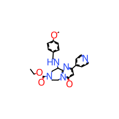 CCOC(=O)N1CCn2c(nc(-c3ccncc3)cc2=O)C(NCc2ccc(OC)cc2)C1